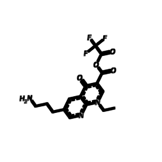 CCn1cc(C(=O)OC(=O)C(F)(F)F)c(=O)c2cc(CCCN)cnc21